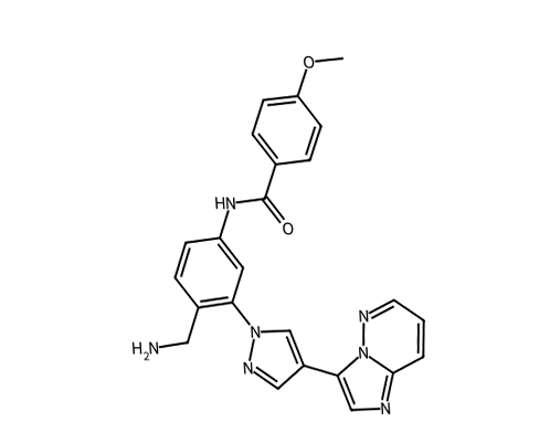 COc1ccc(C(=O)Nc2ccc(CN)c(-n3cc(-c4cnc5cccnn45)cn3)c2)cc1